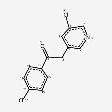 O=C(Cc1cncc(Cl)c1)c1ccc(Cl)cc1